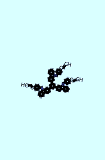 C#CCOc1ccc(/C=C2\c3ccccc3-c3ccc(-c4cc(-c5ccc6c(c5)/C(=C/c5ccc(OCC#C)cc5)c5ccccc5-6)cc(-c5ccc6c(c5)/C(=C/c5ccc(OCC#C)cc5)c5ccccc5-6)c4)cc32)cc1